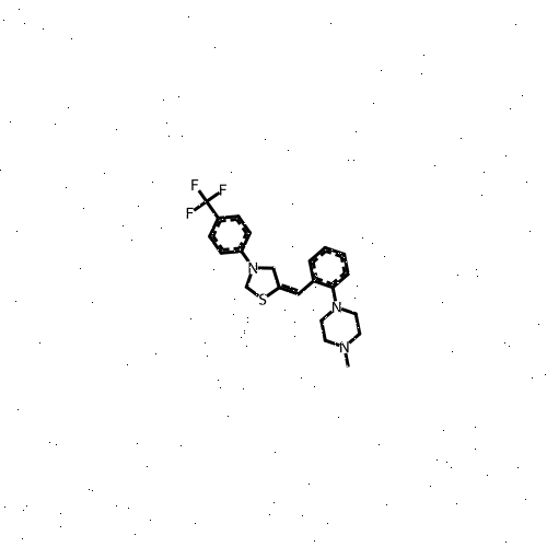 CN1CCN(c2ccccc2/C=C2\CN(c3ccc(C(F)(F)F)cc3)CS2)CC1